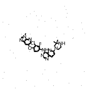 Cn1cnc2cc(Oc3ccc(Nc4ncnc5ccc(N6CCNC(C)(C)C6)nc45)c(F)c3Cl)cnc21